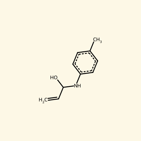 C=CC(O)Nc1ccc(C)cc1